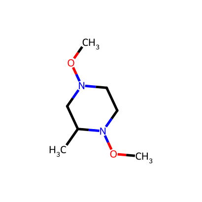 CON1CCN(OC)C(C)C1